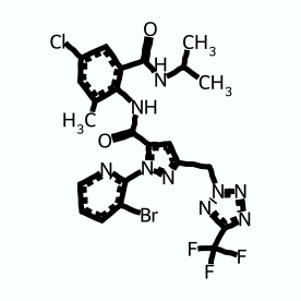 Cc1cc(Cl)cc(C(=O)NC(C)C)c1NC(=O)c1cc(Cn2nnc(C(F)(F)F)n2)nn1-c1ncccc1Br